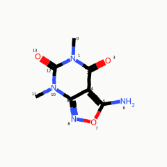 Cn1c(=O)c2c(N)onc2n(C)c1=O